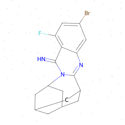 N=c1c2c(F)cc(Br)cc2nc2n1C1CC3CC(CC2C3)C1